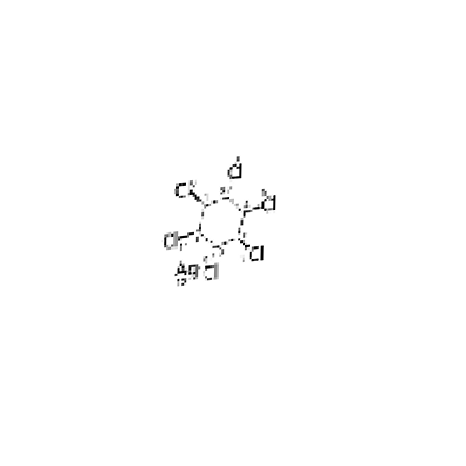 Cl[C@H]1[C@H](Cl)[C@@H](Cl)[C@@H](Cl)[C@H](Cl)[C@H]1Cl.[Ag]